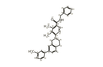 Cc1cc(-c2cnc3c(c2)CN(c2nnc(C(=O)NCc4ccncc4)c(C)c2C)CC3)ccn1